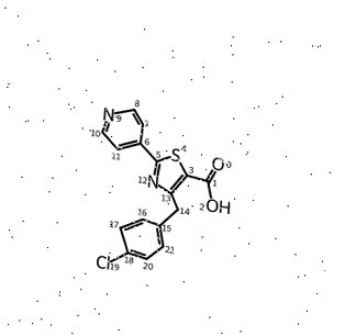 O=C(O)c1sc(-c2ccncc2)nc1Cc1ccc(Cl)cc1